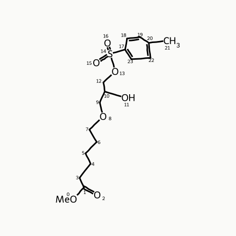 COC(=O)CCCCCOCC(O)COS(=O)(=O)c1ccc(C)cc1